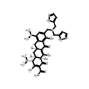 CN(C)c1cc(CN(Cc2ccn[nH]2)Cc2ccn[nH]2)c(O)c2c1C[C@@H]1C[C@@H]3[C@@H](N(C)C)C(O)=C(C(N)=O)C(=O)[C@]3(O)C(O)=C1C2=O